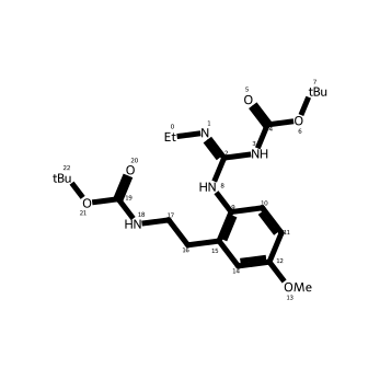 CC/N=C(/NC(=O)OC(C)(C)C)Nc1ccc(OC)cc1CCNC(=O)OC(C)(C)C